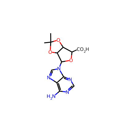 CC1(C)OC2C(C(=O)O)OC(n3cnc4c(N)ncnc43)C2O1